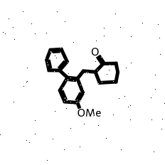 COc1ccc(-c2ccccc2)c(CC2CCCCC2=O)c1